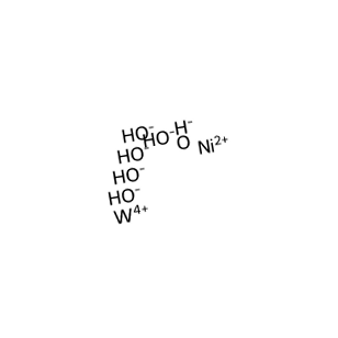 [Ni+2].[OH-].[OH-].[OH-].[OH-].[OH-].[OH-].[W+4]